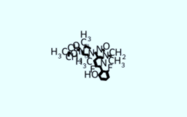 C=C(C)n1c(=O)nc(N2C[C@@H](C)N(C(=O)OC(C)(C)C)C[C@@H]2C)c2cc(F)c(-c3c(O)cccc3F)nc21